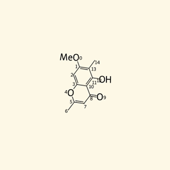 COc1cc2oc(C)cc(=O)c2c(O)c1C